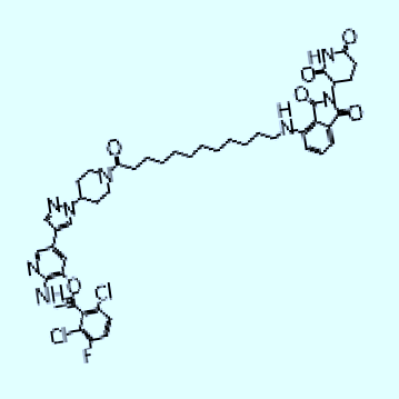 C[C@@H](Oc1cc(-c2cnn(C3CCN(C(=O)CCCCCCCCCCCNc4cccc5c4C(=O)N(C4CCC(=O)NC4=O)C5=O)CC3)c2)cnc1N)c1c(Cl)ccc(F)c1Cl